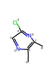 Cc1ncc(Cl)nc1C